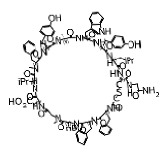 CCCC[C@H]1C(=O)N(C)CC(=O)N[C@@H](CC(=O)O)C(=O)N[C@@H](C(C)C)C(=O)N(C)[C@@H](Cc2ccccc2)C(=O)N[C@@H](Cc2ccc(O)cc2)C(=O)N(C)[C@H](C)C(=O)N[C@@H](Cc2c[nH]c3ccccc23)C(=O)N[C@@H](Cc2ccc(O)cc2)C(=O)N[C@@H](CC(C)C)C(=O)N[C@H](C(=O)NCC(N)=O)CSCC(=O)N[C@@H](Cc2ccccc2)C(=O)N(C)[C@@H](Cc2ccccc2)C(=O)N1C